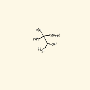 CCCCCC(CCC)(CCCC)C(C)O